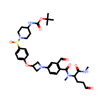 CNC(=O)C(CCC=O)N(C)C(=O)c1ccc(N2CC(Oc3ccc([S+]([O-])N4CCC(NC(=O)OC(C)(C)C)CC4)cc3)C2)cc1C=O